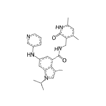 Cc1cc(C)c(CNC(=O)c2cc(Nc3cccnc3)cc3c2c(C)cn3C(C)C)c(=O)[nH]1